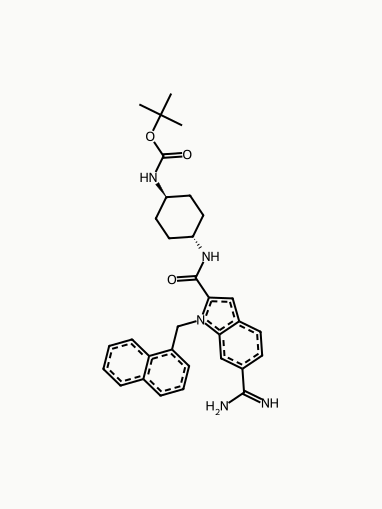 CC(C)(C)OC(=O)N[C@H]1CC[C@H](NC(=O)c2cc3ccc(C(=N)N)cc3n2Cc2cccc3ccccc23)CC1